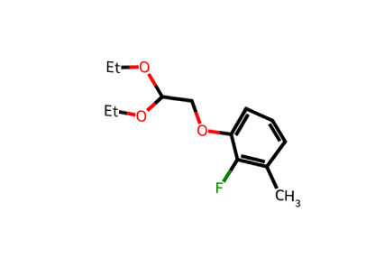 CCOC(COc1cccc(C)c1F)OCC